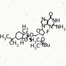 C=C(C)[C@H]1CC[C@@]2(C)SP(=S)(OC[C@H]3O[C@@H](n4cnc5c(=O)[nH]c(N)nc54)[C@H](F)[C@@H]3O[Si](C)(C)C(C)(C)C)O[C@@H]2C1